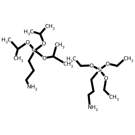 CC(C)O[Si](CCCN)(OC(C)C)OC(C)C.CCO[Si](CCCN)(OCC)OCC